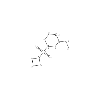 CSC1CN(S(=O)(=O)C2CCC2)CCO1